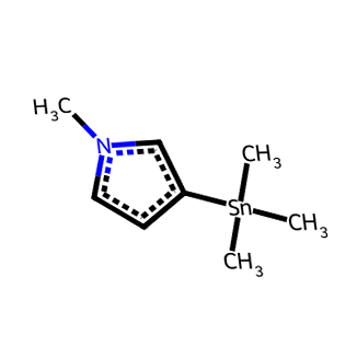 Cn1cc[c]([Sn]([CH3])([CH3])[CH3])c1